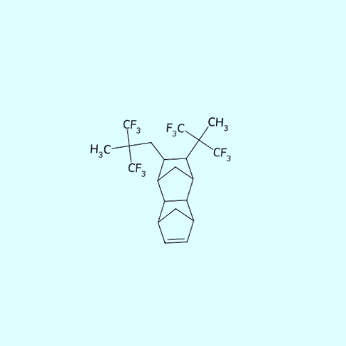 CC(CC1C2CC(C3C4C=CC(C4)C23)C1C(C)(C(F)(F)F)C(F)(F)F)(C(F)(F)F)C(F)(F)F